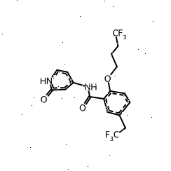 O=C(Nc1cc[nH]c(=O)c1)c1cc(CC(F)(F)F)ccc1OCCCC(F)(F)F